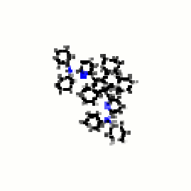 c1ccc(N(c2ccccc2)c2cccc(-c3c4ccccc4c(-c4cccc(N(c5ccccc5)c5ccccc5)n4)c4c5ccccc5c5ccccc5c34)n2)cc1